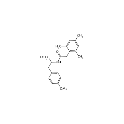 CCOC(=O)C(Cc1ccc(OC)cc1)NC(=O)Cc1c(C)cc(C)cc1C